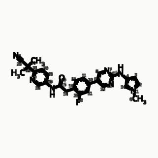 Cn1ccc(Nc2ncc(-c3ccc(CC(=O)Nc4ccc(C(C)(C)C#N)nc4)c(F)c3)cn2)c1